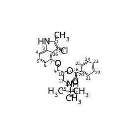 Cc1[nH]c2cccc(OCC(CNC(C)(C)C)OC(=O)c3ccccc3)c2c1Cl